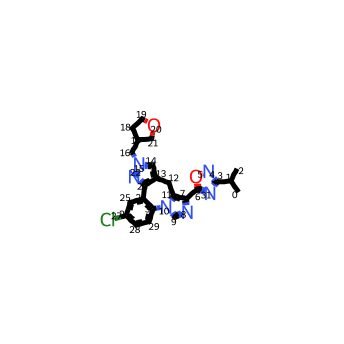 CC(C)c1noc(-c2ncn3c2Cc2cn(CC4CCOC4)nc2-c2cc(Cl)ccc2-3)n1